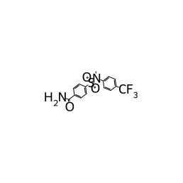 CN(c1ccc(C(F)(F)F)cc1)S(=O)(=O)c1ccc(C(N)=O)cc1